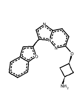 N[C@H]1C[C@@H](Oc2ccc3ncc(-c4cc5ccccc5o4)n3n2)C1